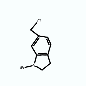 CC(C)N1CCc2ccc(CCl)cc21